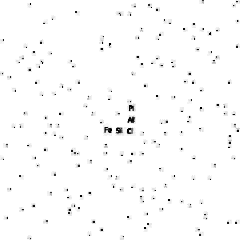 [Al].[C].[Fe].[P].[Si]